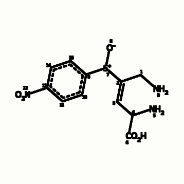 NCC(=CC(N)C(=O)O)[S+]([O-])c1ccc([N+](=O)[O-])cc1